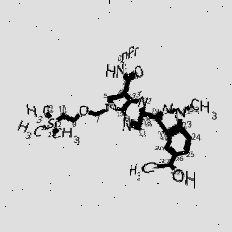 CCCNC(=O)c1cn(COCC[Si](C)(C)C)c2ncc(-c3nn(C)c4ccc(C(C)O)cc34)nc12